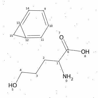 NC(CCCO)C(=O)O.c1ccc2c(c1)C2